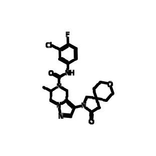 CC1Cn2ncc(N3CC4(CCOCC4)CC3=O)c2CN1C(=O)Nc1ccc(F)c(Cl)c1